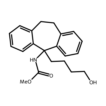 COC(=O)NC1(CCCCO)c2ccccc2CCc2ccccc21